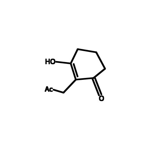 CC(=O)CC1=C(O)CCCC1=O